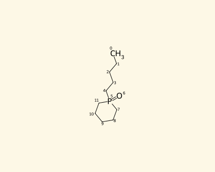 CCCCCP1(=O)CCCCC1